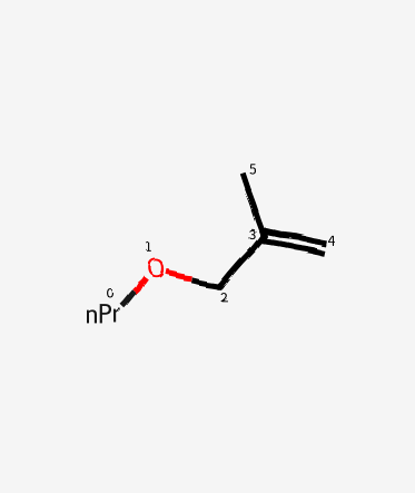 [CH2]CCOCC(=C)C